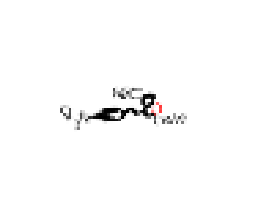 COC(=O)C=C(C=Cc1ccc([N+](=O)[O-])cc1)c1cccc(C#N)c1